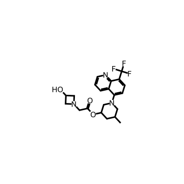 CC1CC(OC(=O)CN2CC(O)C2)CN(c2ccc(C(F)(F)F)c3ncccc23)C1